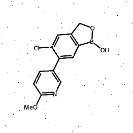 COc1ccc(-c2cc3c(cc2Cl)COB3O)cn1